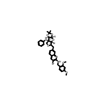 COc1ccc(CNc2nc3cc(CC4OC[C@@]5(Oc6ccccc6)[C@@H]4O[C@@H]4OC(C)(C)O[C@@H]45)ccc3cc2Br)c(OC)c1